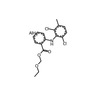 CCOCOC(=O)c1ccccc1Nc1c(Cl)ccc(C)c1Cl.[AlH3]